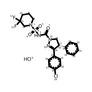 Cl.O=C(NS(=O)(=O)N1CCCC(F)(F)C1)N1C[C@H](c2ccccc2)C(c2ccc(Cl)cc2)=N1